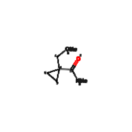 CNC(=O)C1(COC)CC1